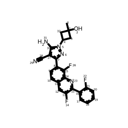 CC1(O)CC(n2nc(-c3ccc4cc(F)c(-c5ccccc5F)nc4c3F)c(C#N)c2N)C1